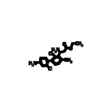 CCOC(=O)CC(N)c1c(N)ccc(-c2ccc(N)cc2Cl)c1Cl